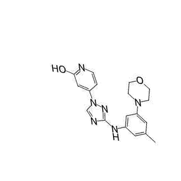 Cc1cc(Nc2ncn(-c3ccnc(O)c3)n2)cc(N2CCOCC2)c1